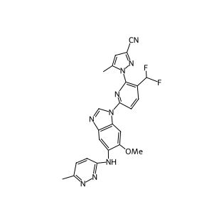 COc1cc2c(cc1Nc1ccc(C)nn1)ncn2-c1ccc(C(F)F)c(-n2nc(C#N)cc2C)n1